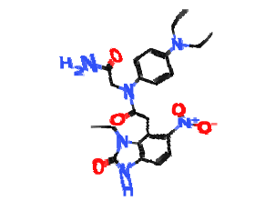 CCN(CC)c1ccc(N(CC(N)=O)C(=O)Cc2c([N+](=O)[O-])ccc3[nH]c(=O)n(CC)c23)cc1